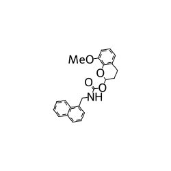 COc1cccc2c1OC(OC(=O)NCc1cccc3ccccc13)CC2